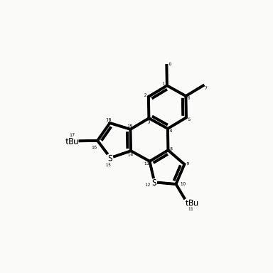 Cc1cc2c(cc1C)c1cc(C(C)(C)C)sc1c1sc(C(C)(C)C)cc21